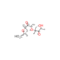 CC(O)C(=O)C(C)(C)OC(C)C(=O)C(C)(C)OC(C)C(=O)O